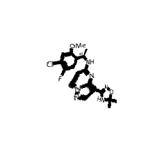 COC1=CC(Cl)=C(F)CC1[C@@H](C)Nc1ccn2ncc(C3=NOC(C)(C)N3)c2n1